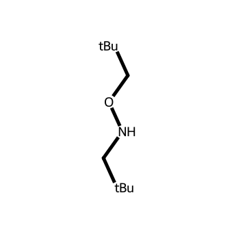 CC(C)(C)CNOCC(C)(C)C